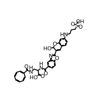 O=C(NCC(NC(=O)c1ccc2oc(C3=Cc4ccc(NCCCS(=O)(=O)O)cc4OC3O)nc2c1)C(=O)O)C1=C/C=C\C=C/C=C\1